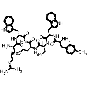 CSCC[C@H](NC(=O)[C@H](CC(C)C)NC(=O)[C@@H](Cc1c[nH]c2ccccc12)NC(=O)[C@@H](N)Cc1ccc(C)cc1)C(=O)NC(=O)[C@@H](Cc1c[nH]c2ccccc12)NC(=O)[C@@H](N)CCCN=C(N)N